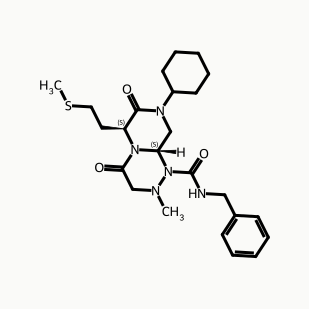 CSCC[C@H]1C(=O)N(C2CCCCC2)C[C@H]2N1C(=O)CN(C)N2C(=O)NCc1ccccc1